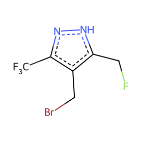 FCc1[nH]nc(C(F)(F)F)c1CBr